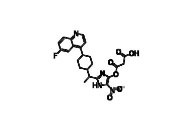 CC(c1nc(OC(=O)CC(=O)O)c([N+](=O)[O-])[nH]1)C1CCC(c2ccnc3ccc(F)cc23)CC1